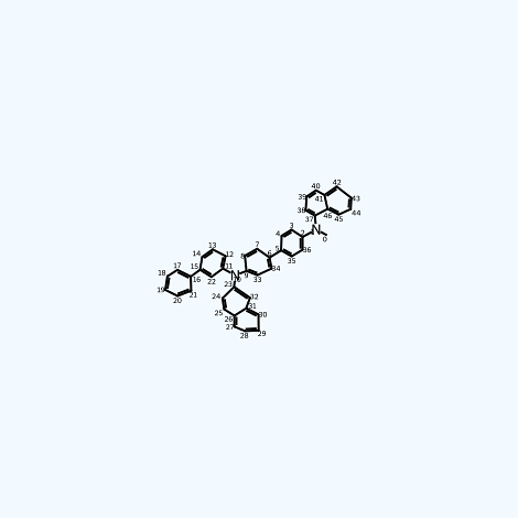 CN(c1ccc(-c2ccc(N(c3cccc(-c4ccccc4)c3)c3ccc4ccccc4c3)cc2)cc1)c1cccc2ccccc12